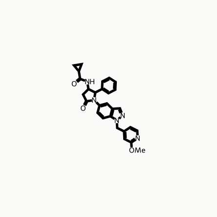 COc1cc(Cn2ncc3cc(N4C(=O)CC(NC(=O)C5CC5)C4c4ccccc4)ccc32)ccn1